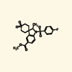 COC(=O)c1ccc2c(c1)C1(CCS(=O)(=O)CC1)C(C)N2S(=O)(=O)c1ccc(F)cc1